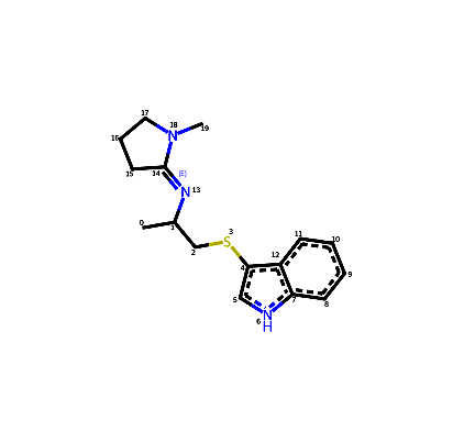 CC(CSc1c[nH]c2ccccc12)/N=C1\CCCN1C